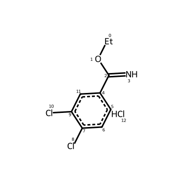 CCOC(=N)c1ccc(Cl)c(Cl)c1.Cl